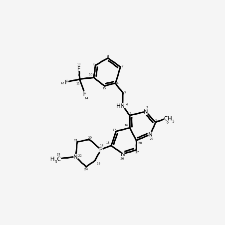 Cc1nc(NCc2cccc(C(F)(F)F)c2)c2cc(P3CCN(C)CC3)ncc2n1